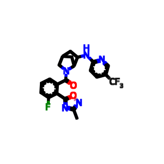 Cc1noc(-c2c(F)cccc2C(=O)N2CC3CC(Nc4ccc(C(F)(F)F)cn4)C2C3)n1